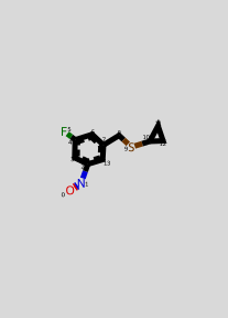 O=Nc1cc(F)cc(CSC2CC2)c1